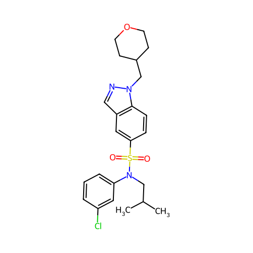 CC(C)CN(c1cccc(Cl)c1)S(=O)(=O)c1ccc2c(cnn2CC2CCOCC2)c1